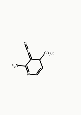 CCOC(=O)C1C=CN=C(N)C1=C=O